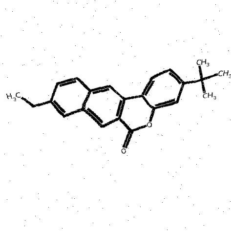 CCc1ccc2cc3c(cc2c1)c(=O)oc1cc(C(C)(C)C)ccc13